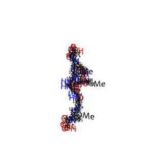 CC[C@@]1(O)C(=O)OCc2c1cc1n(c2=O)Cc2c-1nc1cc(F)c(OC)cc1c2CN1CCC([N+](C)(C)Cc2ccc(NC(=O)[C@H](C)NC(=O)CN(CC(=O)N[C@@H](C)C(=O)Nc3ccc(C[N+](C)(C)C4CCN(Cc5c6c(nc7cc(F)c(OC)cc57)-c5cc7c(c(=O)n5C6)COC(=O)[C@]7(O)CC)CC4)cc3)C(=O)CCCNC(=O)[C@H](CCC(=O)NC(C)COC)NC(=O)CCCN3C(=O)C=CC3=O)cc2)CC1